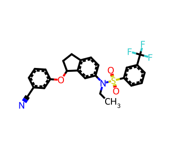 CCN(c1ccc2c(c1)C(Oc1cccc(C#N)c1)CC2)S(=O)(=O)c1cccc(C(F)(F)F)c1